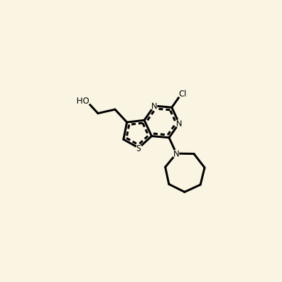 OCCc1csc2c(N3CCCCCC3)nc(Cl)nc12